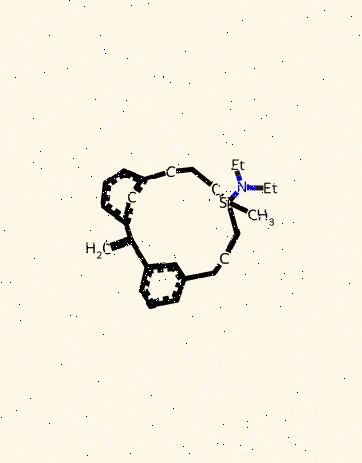 C=C1c2cccc(c2)CCC[Si](C)(N(CC)CC)CCCc2cccc1c2